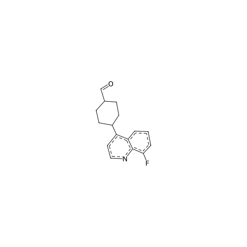 O=CC1CCC(c2ccnc3c(F)cccc23)CC1